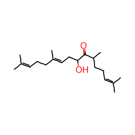 CC(C)=CCC/C(C)=C/CC(O)C(=O)C(C)CCC=C(C)C